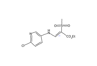 CCOC(=O)/C(=C/Nc1ccc(Cl)nc1)S(C)(=O)=O